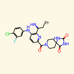 CC(C)CC(=N)c1nc(C(=O)N2CCC3(CC2)NC(=O)NC3=O)ccc1Nc1ccc(Cl)c(F)c1